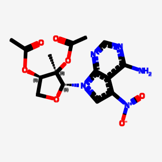 CC(=O)O[C@@H]1CO[C@@H](n2cc([N+](=O)[O-])c3c(N)ncnc32)[C@]1(C)OC(C)=O